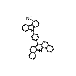 N#Cc1cccc2c1c1ccccc1n2-c1ccc(-c2c3ccc4ccccc4c3nc3c2ccc2ccccc23)cc1